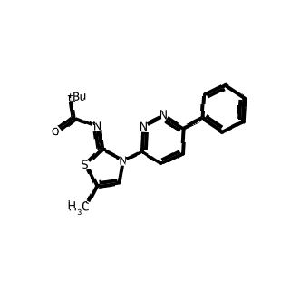 Cc1cn(-c2ccc(-c3ccccc3)nn2)c(=NC(=O)C(C)(C)C)s1